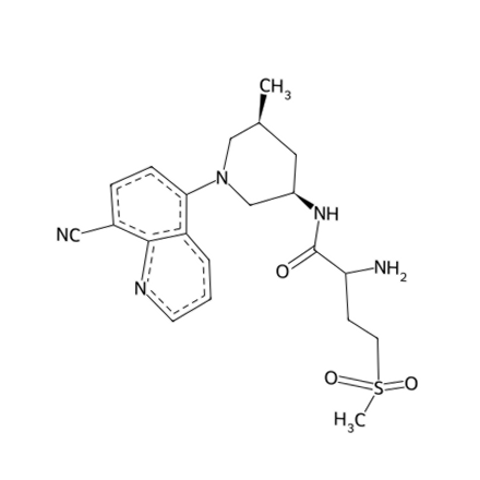 C[C@H]1C[C@@H](NC(=O)C(N)CCS(C)(=O)=O)CN(c2ccc(C#N)c3ncccc23)C1